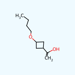 C=C(O)C1CC(OCCCC)C1